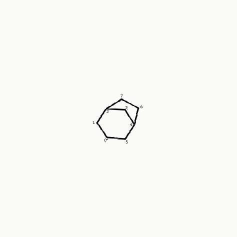 [C]1CC2[CH]C(C1)CC2